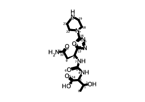 CC(O)C(NC(=O)N[C@@H](CC(N)=O)c1nnc(N2CCNCC2)o1)C(=O)O